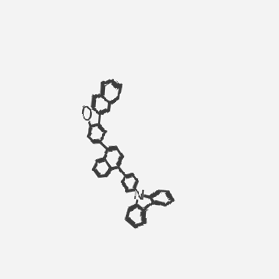 c1ccc2cc3c(cc2c1)oc1ccc(-c2ccc(-c4ccc(-n5c6ccccc6c6ccccc65)cc4)c4ccccc24)cc13